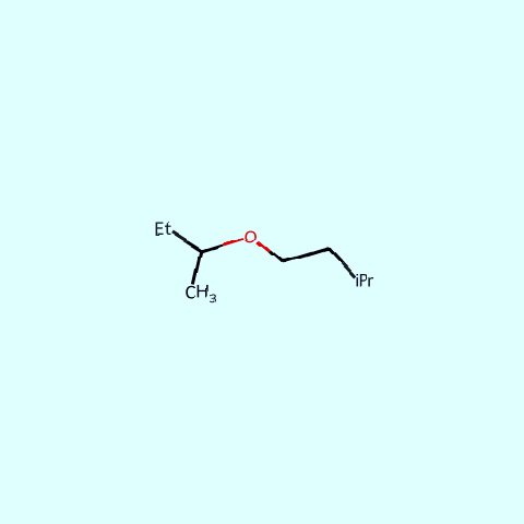 CCC(C)OCCC(C)C